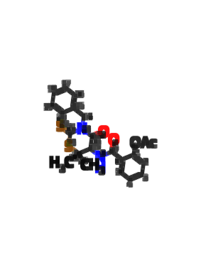 CC(=O)Oc1ccccc1C(=O)NC1C(=O)N(Cc2ccccc2)C(=S)SC1(C)C